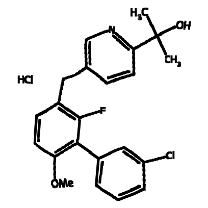 COc1ccc(Cc2ccc(C(C)(C)O)nc2)c(F)c1-c1cccc(Cl)c1.Cl